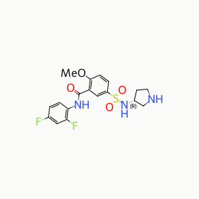 COc1ccc(S(=O)(=O)N[C@@H]2CCNC2)cc1C(=O)Nc1ccc(F)cc1F